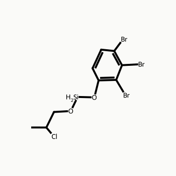 CC(Cl)CO[SiH2]Oc1ccc(Br)c(Br)c1Br